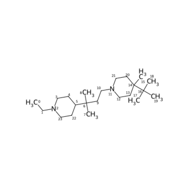 CCN1CCC(C(C)(C)CCN2CCC(C)(C(C)(C)C)CC2)CC1